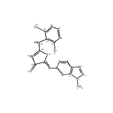 Cn1nnc2ccc(/C=C3\SC(Nc4c(Cl)cccc4Cl)=NC3=O)cc21